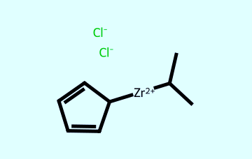 C[CH](C)[Zr+2][CH]1C=CC=C1.[Cl-].[Cl-]